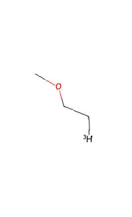 [3H]CCOC